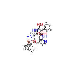 C[C@@](Cc1c[nH]c2ncccc12)(NC(=O)OC1C2CC3CC(C2)CC1C3)C(=O)N[C@@H](CO)C(O)c1ccccc1